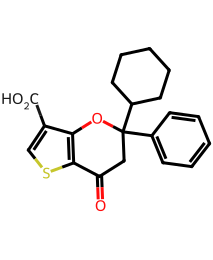 O=C(O)c1csc2c1OC(c1ccccc1)(C1CCCCC1)CC2=O